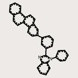 c1ccc(-n2c(-c3cccc(-c4ccc5c(ccc6c7ccccc7ccc56)c4)c3)nc3ccccc32)cc1